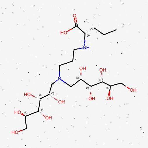 CCC[C@H](NCCCN(C[C@H](O)[C@@H](O)[C@H](O)[C@H](O)CO)C[C@H](O)[C@@H](O)[C@H](O)[C@H](O)CO)C(=O)O